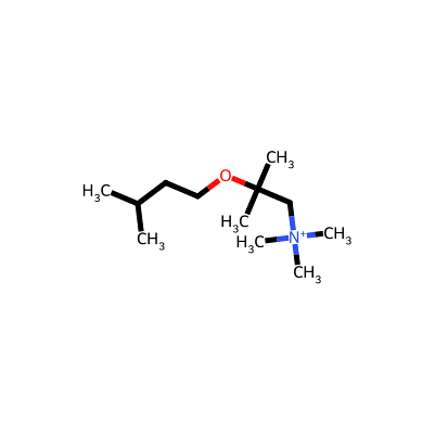 CC(C)CCOC(C)(C)C[N+](C)(C)C